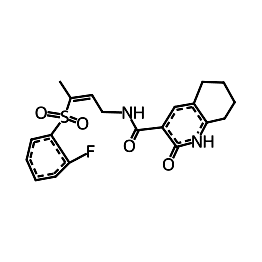 C/C(=C/CNC(=O)c1cc2c([nH]c1=O)CCCC2)S(=O)(=O)c1ccccc1F